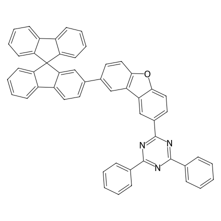 c1ccc(-c2nc(-c3ccccc3)nc(-c3ccc4oc5ccc(-c6ccc7c(c6)C6(c8ccccc8-c8ccccc86)c6ccccc6-7)cc5c4c3)n2)cc1